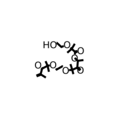 C=C(C)C(=O)C(C)(C)OCCOC(C)(C)C(=O)C(C)OC(=O)C(C)(C)OCCO